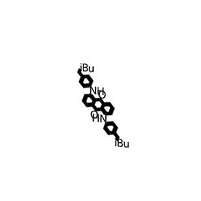 CCC(C)Cc1ccc(Nc2cccc3c2C(=O)c2cccc(Nc4ccc(CC(C)CC)cc4)c2C3=O)cc1